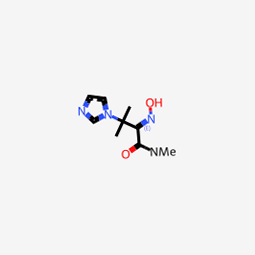 CNC(=O)/C(=N/O)C(C)(C)n1ccnc1